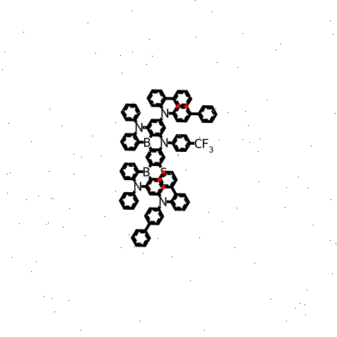 FC(F)(F)c1ccc(N2c3cc4c(cc3B3c5ccccc5N(c5ccccc5)c5cc(N(c6ccc(-c7ccccc7)cc6)c6ccccc6-c6ccccc6)cc2c53)B2c3ccccc3N(c3ccccc3)c3cc(N(c5ccc(-c6ccccc6)cc5)c5ccccc5-c5ccccc5)cc(c32)S4)cc1